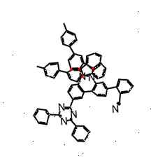 Cc1ccc(-c2ccc3c(c2)c2ccccc2n3-c2ccc(-c3nc(-c4ccccc4)nc(-c4ccccc4)n3)cc2-c2ccc(-c3ccccc3C#N)cc2-n2c3ccccc3c3cc(-c4ccc(C)cc4)ccc32)cc1